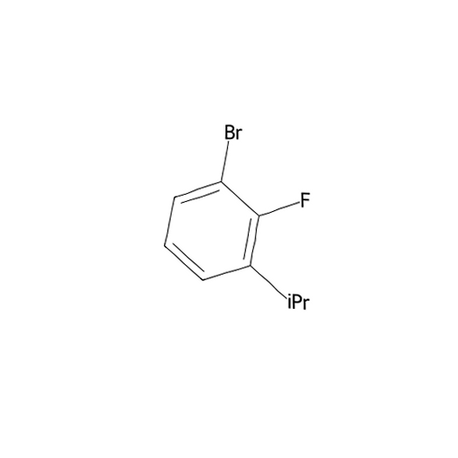 [CH2]C(C)c1cccc(Br)c1F